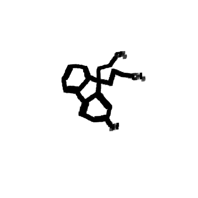 CCCC1(CCC)c2ccccc2-c2ccc(S)cc21